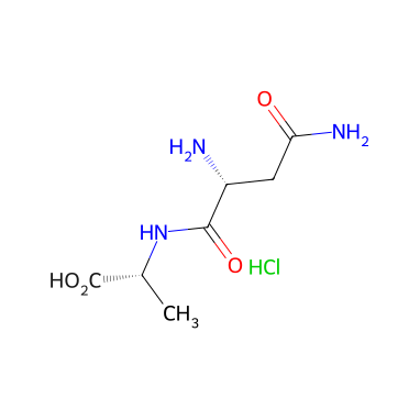 C[C@@H](NC(=O)[C@H](N)CC(N)=O)C(=O)O.Cl